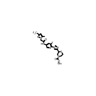 Cc1cc(C(F)(F)F)nn1CC(=O)Nc1cnc(-n2cnc(C3CN(C(=O)OC(C)(C)C)CCS3)c2)c(F)c1